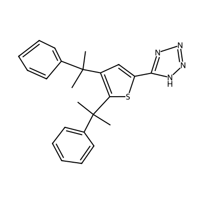 CC(C)(c1ccccc1)c1cc(-c2nnn[nH]2)sc1C(C)(C)c1ccccc1